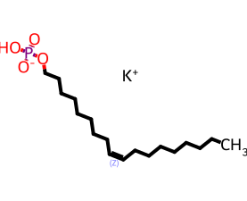 CCCCCCCC/C=C\CCCCCCCCOP(=O)([O-])O.[K+]